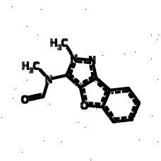 CN(C=O)c1c2oc3ccccc3c2nn1C